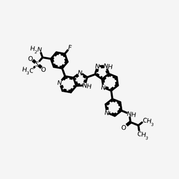 CC(C)C(=O)Nc1cncc(-c2ccc3[nH]nc(-c4nc5c(-c6cc(F)cc(C(N)S(C)(=O)=O)c6)nccc5[nH]4)c3n2)c1